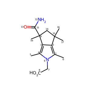 Cc1c2c(c(C)n1CC(=O)O)C(C)(C(N)=O)CC2(C)C